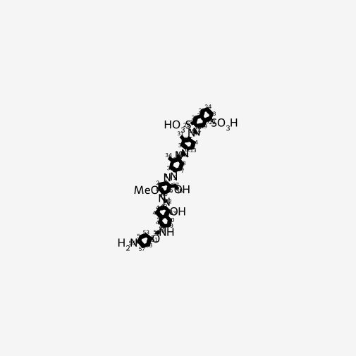 COc1cc(N=Nc2ccc(N=Nc3ccc(N=Nc4cc5c(S(=O)(=O)O)cccc5cc4S(=O)(=O)O)c(C)c3)c(C)c2)c(CO)cc1N=Nc1ccc2cc(NCOc3ccc(N)cc3)ccc2c1O